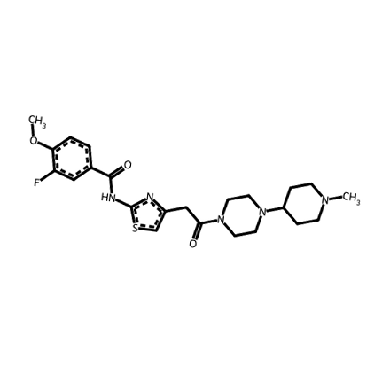 COc1ccc(C(=O)Nc2nc(CC(=O)N3CCN(C4CCN(C)CC4)CC3)cs2)cc1F